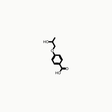 CC(O)COc1ccc(C(=O)O)cc1